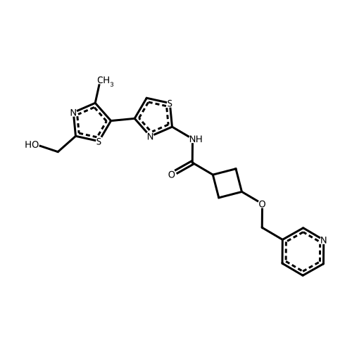 Cc1nc(CO)sc1-c1csc(NC(=O)C2CC(OCc3cccnc3)C2)n1